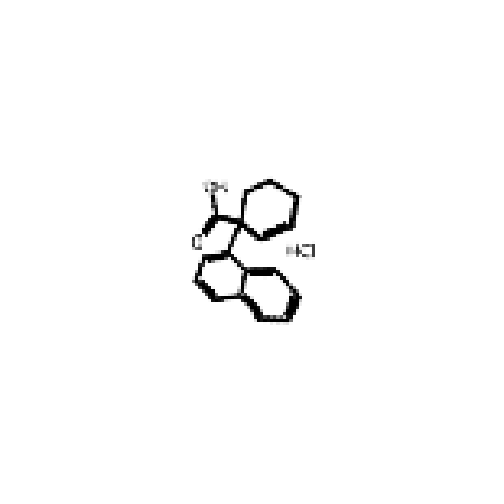 Cl.O=C(O)C1(c2cccc3ccccc23)C=CCCC1